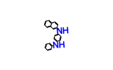 c1ccc(Nc2ccc(Nc3ccc4ccccc4c3)cc2)cc1